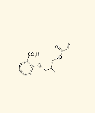 C=CC(=O)OCC(C)COc1ccccc1C(=O)O